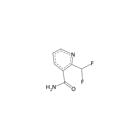 NC(=O)c1cccnc1C(F)F